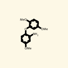 COc1ccc(Oc2cc(OC)ccc2OC)c(N)c1